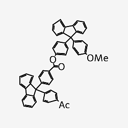 COc1ccc(C2(c3ccc(OC(=O)c4ccc(C5(c6ccc(C(C)=O)cc6)c6ccccc6-c6ccccc65)cc4)cc3)c3ccccc3-c3ccccc32)cc1